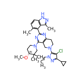 CCn1nc(C2CC2)c(Cl)c1N1CCc2nc(-c3c(C)ccc4[nH]nc(C)c34)nc(N3CC[C@@H](OC)C(C)(C)C3)c2C1